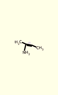 [CH2]/C(N)=C/C